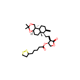 C=C1CCC2[C@]3(C)COC(C)(C)O[C@@H]3CC[C@@]2(C)[C@@H]1C/C=C1/C(=O)OC[C@H]1OC(=O)CCCCC1CCSS1